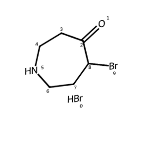 Br.O=C1CCNCCC1Br